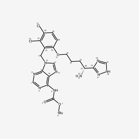 CC(C)(C)OC(=O)Nc1ncnc2c1ncn2Cc1c(OCCC[C@@H](N)c2nc[nH]n2)ccc(Cl)c1Cl